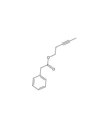 CC#CCCOC(=O)Cc1ccccc1